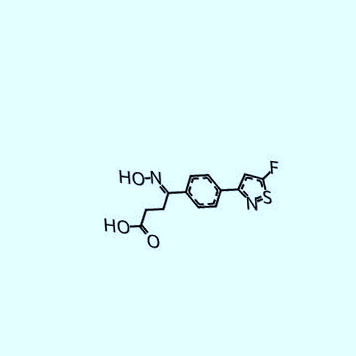 O=C(O)CC/C(=N\O)c1ccc(-c2cc(F)sn2)cc1